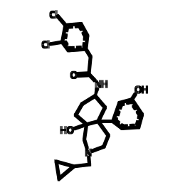 O=C(Cc1ccc(Cl)c(Cl)c1)N[C@@H]1CCC2(O)CN(CC3CC3)CCC2(c2cccc(O)c2)C1